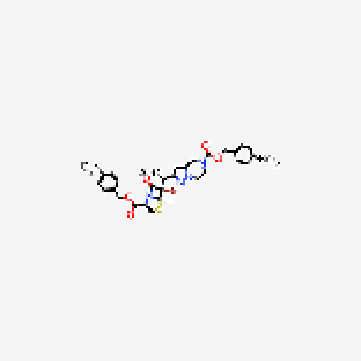 CC(=O)OC(c1cc2n(n1)CCN(C(=O)OCc1ccc([N+](=O)[O-])cc1)C2)C1(Br)C(=O)N2C(C(=O)OCc3ccc([N+](=O)[O-])cc3)=CS[C@@H]21